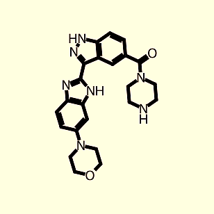 O=C(c1ccc2[nH]nc(-c3nc4ccc(N5CCOCC5)cc4[nH]3)c2c1)N1CCNCC1